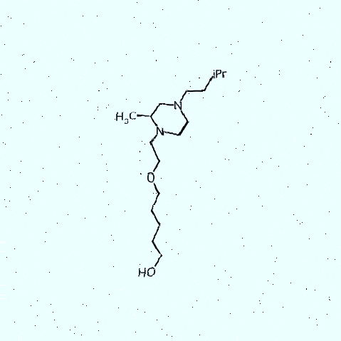 CC(C)CCN1CCN(CCOCCCCCO)[C@@H](C)C1